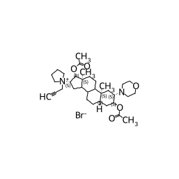 C#CC[N+]1([C@H]2CC3C4CC[C@H]5C[C@H](OC(C)=O)[C@@H](N6CCOCC6)C[C@]5(C)C4CC[C@]3(C)[C@H]2OC(C)=O)CCCC1.[Br-]